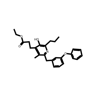 CCCc1nc(Cc2cccc(Oc3ccccc3)c2)c(C)c(CCC(=O)OCC)c1O